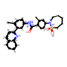 Cc1cc(N2CCCCCS2(=O)=O)ccc1C(=O)Nc1ccc(C)c(-c2ccc3ccccc3n2)c1